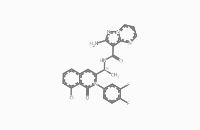 C[C@H](NC(=O)c1c(N)nn2cccnc12)c1cc2cccc(Cl)c2c(=O)n1-c1ccc(F)c(F)c1